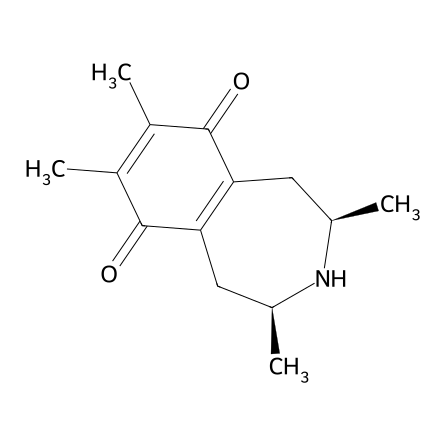 CC1=C(C)C(=O)C2=C(C[C@@H](C)N[C@@H](C)C2)C1=O